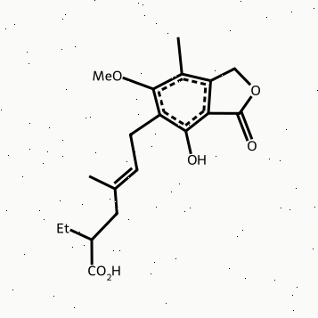 CCC(C/C(C)=C/Cc1c(O)c2c(c(C)c1OC)COC2=O)C(=O)O